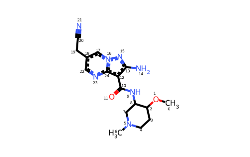 COC1CCN(C)CC1NC(=O)c1c(N)nn2cc(CC#N)cnc12